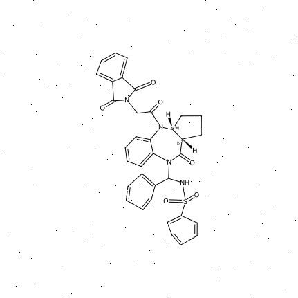 O=C1c2ccccc2C(=O)N1CC(=O)N1c2ccccc2N(C(NS(=O)(=O)c2ccccc2)c2ccccc2)C(=O)[C@H]2CCC[C@H]21